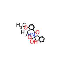 COc1cccc(C(=O)NC2(C(=O)O)Cc3ccccc3C2)c1C